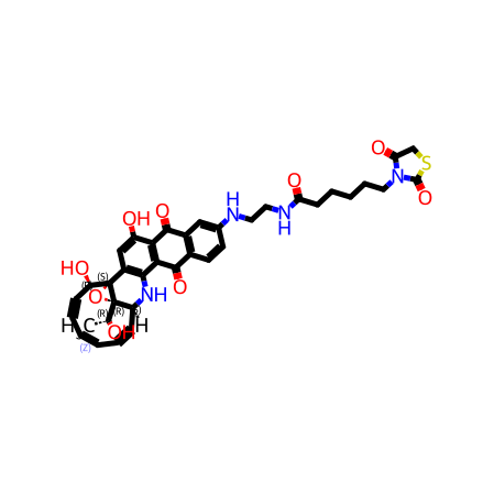 C[C@@H](O)[C@@]12O[C@]13c1cc(O)c4c(c1N[C@H]2C#C/C=C\C#C[C@H]3O)C(=O)c1ccc(NCCNC(=O)CCCCCN2C(=O)CSC2=O)cc1C4=O